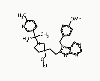 CCOC[C@@]1(CCc2nc3ncncc3n2Cc2ccc(OC)cc2)CCN(C(C)(C)c2ccc(C)nc2)C1